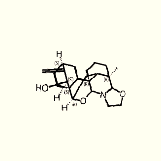 C=C1[C@H]2CC[C@]3(C(C2)[C@@]24CCC[C@@]5(C)C6OCCN6C2O[C@@H]3CC54)[C@H]1O